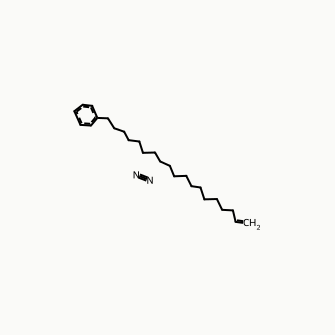 C=CCCCCCCCCCCCCCCCCCc1ccccc1.N#N